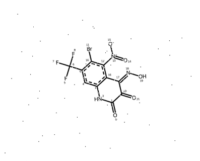 O=C1Nc2cc(C(F)(F)F)c(Br)c([N+](=O)[O-])c2C(=NO)C1=O